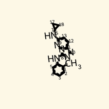 Cc1ccccc1Nc1nnc2ccc(NC3CC3)nn12